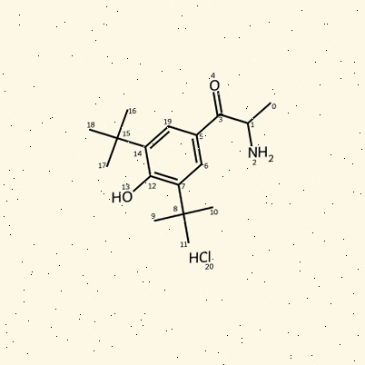 CC(N)C(=O)c1cc(C(C)(C)C)c(O)c(C(C)(C)C)c1.Cl